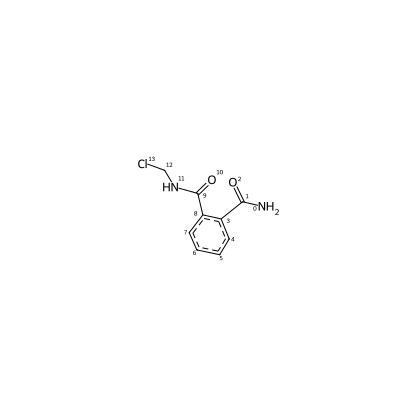 NC(=O)c1ccccc1C(=O)NCCl